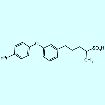 CCCc1ccc(Oc2cccc(CCCC(C)S(=O)(=O)O)c2)cc1